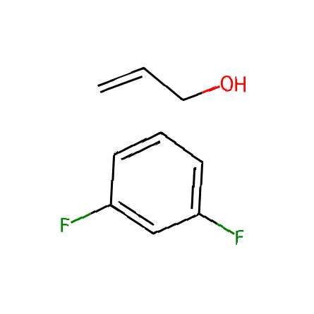 C=CCO.Fc1cccc(F)c1